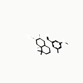 COc1cc(C)cc(C(=O)[C@H]2[C@H](C)[C@H](N)C[C@@]3(C)C(C)(C)CCC[C@]23C)c1